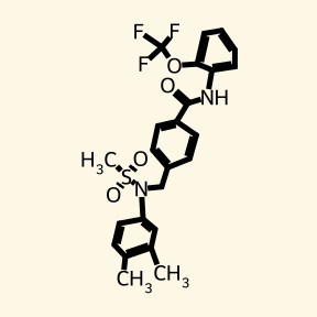 Cc1ccc(N(Cc2ccc(C(=O)Nc3ccccc3OC(F)(F)F)cc2)S(C)(=O)=O)cc1C